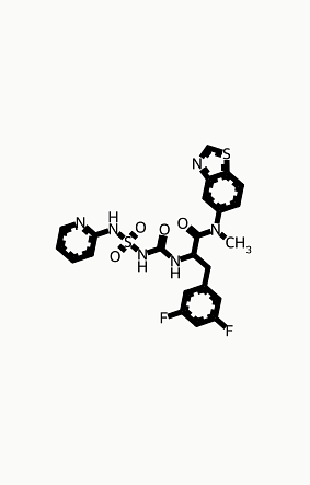 CN(C(=O)C(Cc1cc(F)cc(F)c1)NC(=O)NS(=O)(=O)Nc1ccccn1)c1ccc2scnc2c1